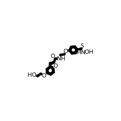 O=C(NCCOc1ccc(C(=S)NO)cc1)c1cc2cc(OCCO)ccc2o1